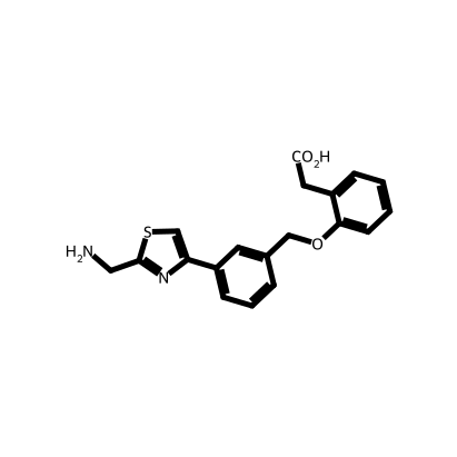 NCc1nc(-c2cccc(COc3ccccc3CC(=O)O)c2)cs1